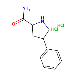 Cl.Cl.NC(=O)C1CC(c2ccccc2)CN1